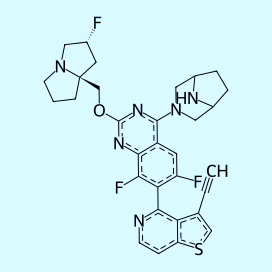 C#Cc1csc2ccnc(-c3c(F)cc4c(N5CC6CCC(C5)N6)nc(OC[C@@]56CCCN5C[C@H](F)C6)nc4c3F)c12